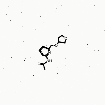 CC(=O)Nc1cccc(COC2CCOC2)n1